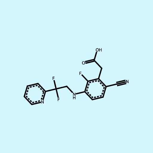 N#Cc1ccc(NCC(F)(F)c2ccccn2)c(F)c1CC(=O)O